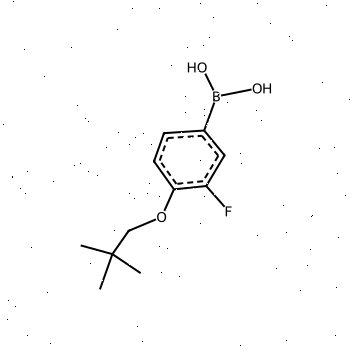 CC(C)(C)COc1ccc(B(O)O)cc1F